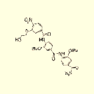 CC(C)COc1cc(C(N)=O)ccc1NC(=O)c1ccc(NC(=O)c2ccc([N+](=O)[O-])c(OCCO)c2)c(OCC(C)C)c1